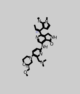 C=Nc1c(/C(=C\C)c2ncc(Nc3ccc(N4CCO[C@H](COC)C4)c(CN(C)C)n3)c3c2CNC3=O)ccn1C